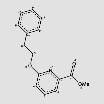 COC(=O)c1cccc(OCCc2ccccc2)n1